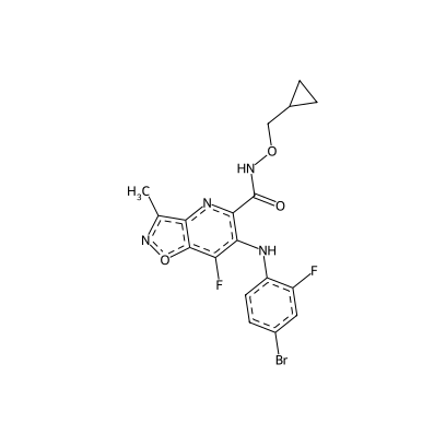 Cc1noc2c(F)c(Nc3ccc(Br)cc3F)c(C(=O)NOCC3CC3)nc12